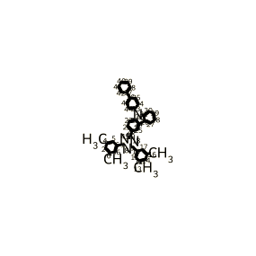 Cc1cc(C)cc(-c2nc(-c3cc(C)cc(C)c3)nc(-c3ccc4c(c3)c3ccccc3n4-c3ccc(-c4ccccc4)cc3)n2)c1